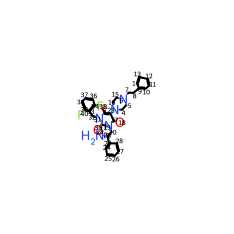 Cc1c(N2CCN(CCc3ccccc3)CC2)c(=O)n(C[C@@H](N)c2ccccc2)c(=O)n1Cc1c(F)cccc1F